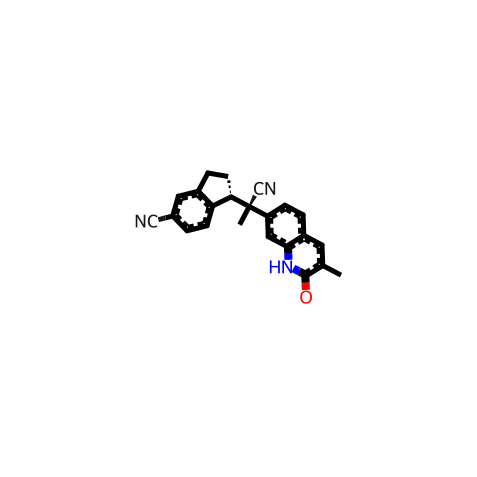 Cc1cc2ccc([C@@](C)(C#N)[C@H]3CCc4cc(C#N)ccc43)cc2[nH]c1=O